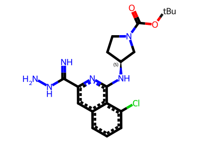 CC(C)(C)OC(=O)N1CC[C@H](Nc2nc(C(=N)NN)cc3cccc(Cl)c23)C1